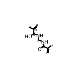 C=C(C)C(=O)NCNC(O)C(=C)C